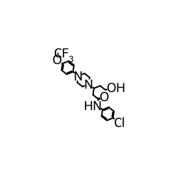 O=C(CC(CCO)N1CCN(c2ccc(OC(F)(F)F)cc2)CC1)Nc1ccc(Cl)cc1